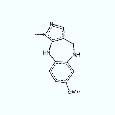 COc1ccc2c(c1)NCc1cnn(C)c1N2